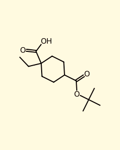 CCC1(C(=O)O)CCC(C(=O)OC(C)(C)C)CC1